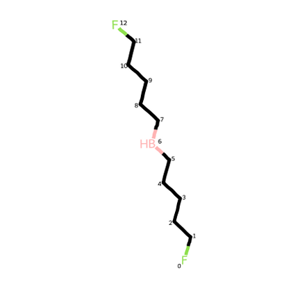 FCCCCCBCCCCCF